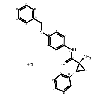 Cl.N[C@@]1(C(=O)Nc2ccc(SCc3ccccc3)cc2)C[C@@H]1c1ccccc1